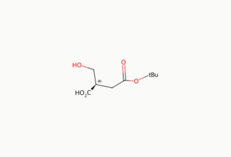 CC(C)(C)OC(=O)C[C@H](CO)C(=O)O